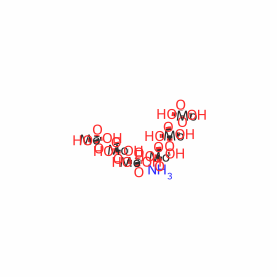 N.[O]=[Mo](=[O])([OH])[OH].[O]=[Mo](=[O])([OH])[OH].[O]=[Mo](=[O])([OH])[OH].[O]=[Mo](=[O])([OH])[OH].[O]=[Mo](=[O])([OH])[OH].[O]=[Mo](=[O])([OH])[OH]